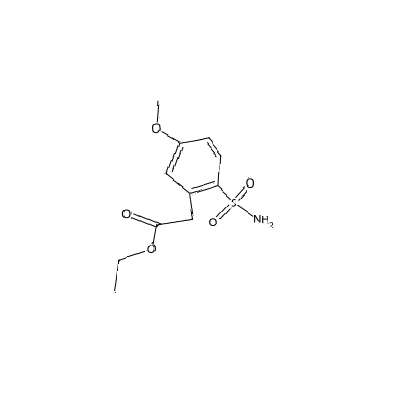 CCOC(=O)Cc1cc(OC)ccc1S(N)(=O)=O